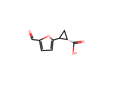 O=Cc1ccc(C2C[C@@H]2C(=O)O)o1